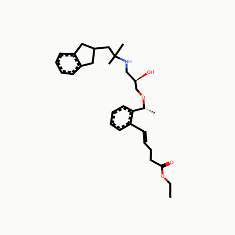 CCOC(=O)CC/C=C/c1ccccc1[C@@H](C)OC[C@H](O)CNC(C)(C)CC1Cc2ccccc2C1